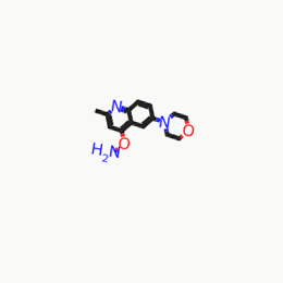 Cc1cc(ON)c2cc(N3CCOCC3)ccc2n1